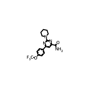 NC(=O)c1cc(-c2ccc(OC(F)(F)F)cc2)nc(N2CCCCC2)n1